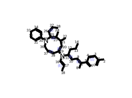 C=C(C)/C=C\C(=C)/C(C)=C/C=C(\CCC)N(/C=C/C)C1=C/C(C)/C(C)=C(/C=C\C)N(C2=CCCC=C2)C/C=C\1